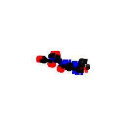 N=C(NC(O)C(F)(F)F)c1ccc(C(=O)NC[C@H]2COCCN2C(=O)C2CCOC2)cc1